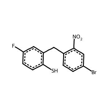 O=[N+]([O-])c1cc(Br)ccc1Cc1cc(F)ccc1S